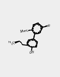 C=CCc1cc(-c2cc(CCC)ccc2OC)ccc1O